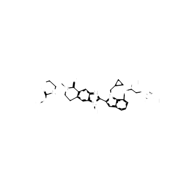 C[C@@H](COS(C)(=O)=O)Oc1cccc2cc(-c3nc4cc5c(cc4n3C)CCN(C[C@@H](CF)NC(=O)OC(C)(C)C)C5=O)n(CC3CC3)c12